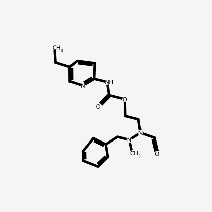 CCc1ccc(NC(=O)OCCN(C=O)N(C)Cc2ccccc2)nc1